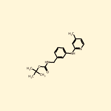 Cc1ccnc(Nc2cccc(CNC(=O)OC(C)(C)C)c2)c1